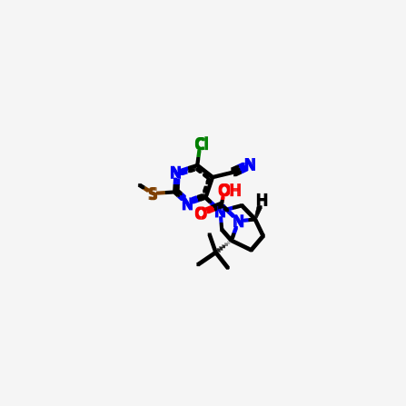 CSc1nc(Cl)c(C#N)c(N2C[C@@H]3CC[C@@](C(C)(C)C)(C2)N3C(=O)O)n1